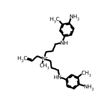 C=CC[N+](C)(CCCNc1ccc(N)c(C)c1)CCCNc1ccc(N)c(C)c1